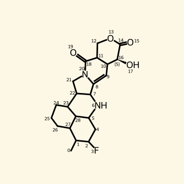 CC1C(F)CC2NC3C4=CC5C(COC(=O)[C@H]5O)C(=O)N4CC3C3CCCC1C23